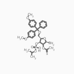 B[C@@H]1O[C@H](COC(c2ccccc2)(c2ccc(OC)cc2)c2ccc(OC)cc2)[C@H](OP(=O)(O)OC(C)C)C1OC(C)=S